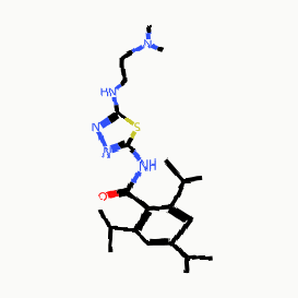 CC(C)c1cc(C(C)C)c(C(=O)Nc2nnc(NCCN(C)C)s2)c(C(C)C)c1